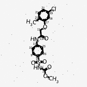 COC(=O)NS(=O)(=O)c1ccc(NC(=O)COc2cc(Cl)ccc2C)cc1